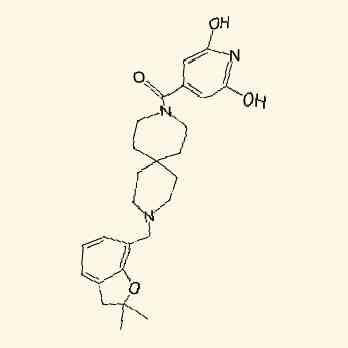 CC1(C)Cc2cccc(CN3CCC4(CC3)CCN(C(=O)c3cc(O)nc(O)c3)CC4)c2O1